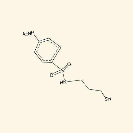 CC(=O)Nc1ccc(S(=O)(=O)NCCCS)cc1